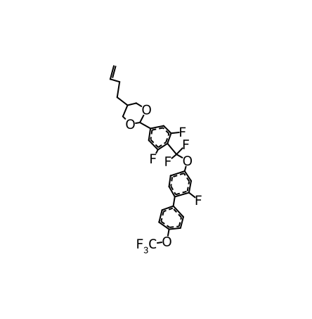 C=CCCC1COC(c2cc(F)c(C(F)(F)Oc3ccc(-c4ccc(OC(F)(F)F)cc4)c(F)c3)c(F)c2)OC1